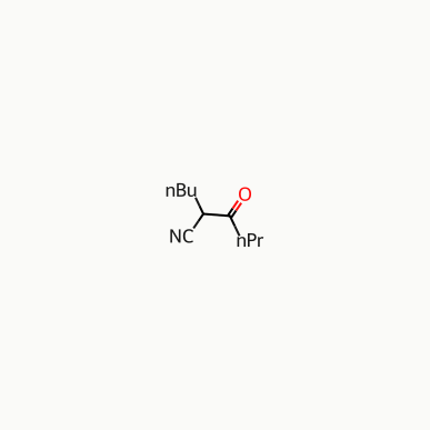 CCCCC(C#N)C(=O)CCC